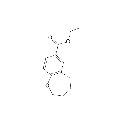 CCOC(=O)c1ccc2c(c1)CCCCO2